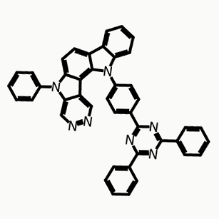 c1ccc(-c2nc(-c3ccccc3)nc(-c3ccc(-n4c5ccccc5c5ccc6c(c7cnncc7n6-c6ccccc6)c54)cc3)n2)cc1